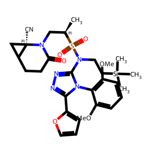 COc1cccc(OC)c1-n1c(-c2ccco2)nnc1N(CC[Si](C)(C)C)S(=O)(=O)[C@H](C)CN1C(=O)CCC2C[C@]21C#N